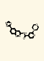 O=C(Nc1cc2cc(-c3nncs3)ccc2nn1)c1ccnc(N2CCOCC2)c1